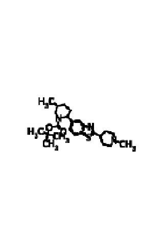 CC1CCC(c2ccc3sc(C4CCN(C)CC4)nc3c2)N(C(=O)OC(C)(C)C)C1